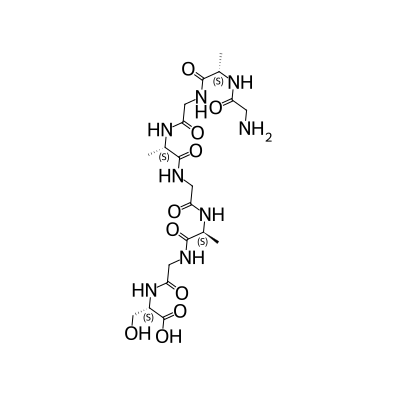 C[C@H](NC(=O)CN)C(=O)NCC(=O)N[C@@H](C)C(=O)NCC(=O)N[C@@H](C)C(=O)NCC(=O)N[C@@H](CO)C(=O)O